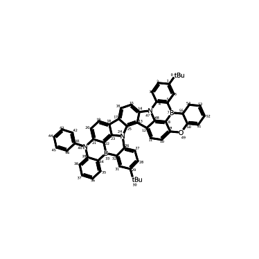 CC(C)(C)c1ccc2c(c1)B1c3c(ccc4c5c(ccc6c7ccc8c9c7n(c65)-c5ccc(C(C)(C)C)cc5B9c5ccccc5N8c5ccccc5)n-2c34)OC2=CC=CCC12